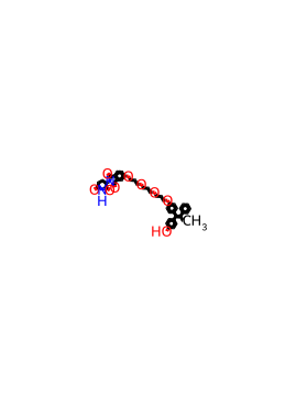 CCC(=C(c1ccc(O)cc1)c1ccc(OCCCOCCCOCCCOc2ccc3c(c2)C(=O)N(C2CCC(=O)NC2=O)C3=O)cc1)c1ccccc1